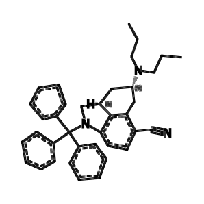 CCCN(CCC)[C@@H]1Cc2c(C#N)ccc3c2[C@H](C1)CN3C(c1ccccc1)(c1ccccc1)c1ccccc1